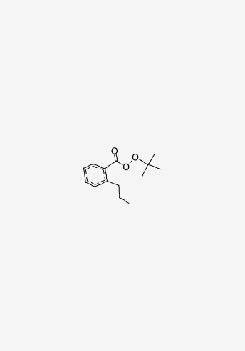 CCCc1ccccc1C(=O)OOC(C)(C)C